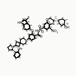 CC(C)c1ccccc1[C@H]1CCCN1C1CC2(CCN(c3ccc(C(=O)NS(=O)(=O)c4cc5c(c([N+](=O)[O-])c4)S[C@@H](C[C@H]4CC[C@](C)(O)CC4)CO5)c(Oc4cnc5[nH]cc(F)c5c4)c3)CC2)C1